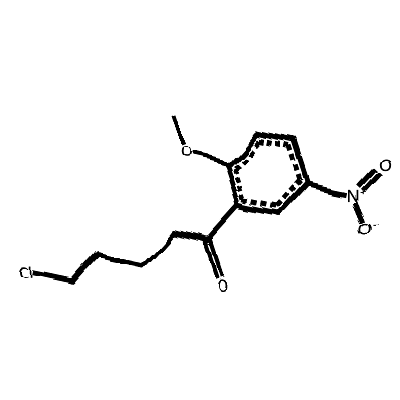 COc1ccc([N+](=O)[O-])cc1C(=O)CCCCCl